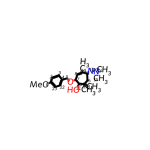 COc1ccc(COC2C=C(C)C(=NN(C)C)CC(C)(C)C2O)cc1